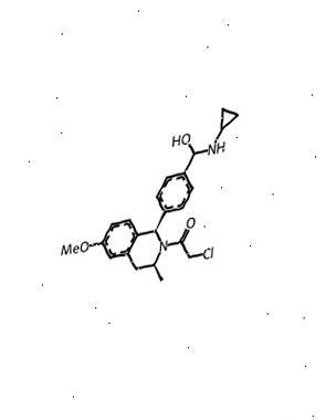 COc1ccc2c(c1)C[C@H](C)N(C(=O)CCl)[C@@H]2c1ccc(C(O)NC2CC2)cc1